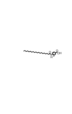 CCCCCCCCCCCCCCCCCCCC(=O)Nc1ccc(C(=O)O)cc1C